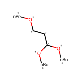 [CH2]CCOCCC(OCCCC)OCCCC